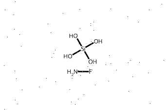 NF.O[Si](O)(O)O